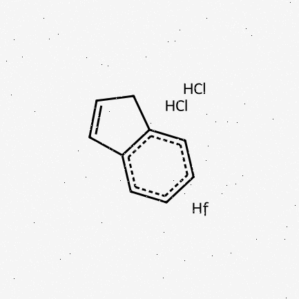 C1=Cc2ccccc2C1.Cl.Cl.[Hf]